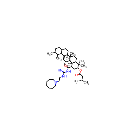 CC(C)CC(=O)OC1CC(C(=O)NC(=N)NCCN2CCCCCCC2)C2(C)C(CCC3(C)C2CC=C2C4C(CCC(C)C4C)CCC23C)C1(C)C